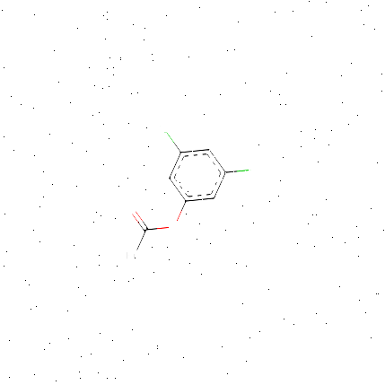 CCC(=O)Oc1cc(Cl)cc(Cl)c1